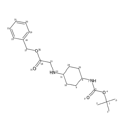 CC(C)(C)OC(=O)NC1CCC(NCC(=O)OCc2ccccc2)CC1